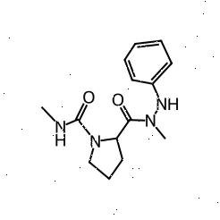 CNC(=O)N1CCCC1C(=O)N(C)Nc1ccccc1